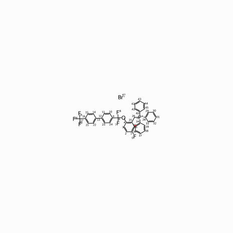 Fc1ccc(OC(F)(F)c2ccc(-c3ccc(C(F)(F)F)cc3)cc2)c(C[P+](c2ccccc2)(c2ccccc2)c2ccccc2)c1.[Br-]